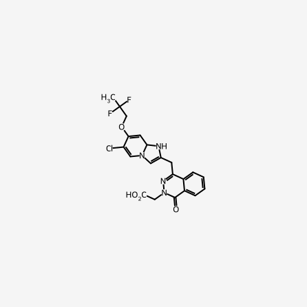 CC(F)(F)COC1=CC2NC(Cc3nn(CC(=O)O)c(=O)c4ccccc34)=CN2C=C1Cl